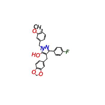 COc1cccc(Cn2nc(-c3ccc(F)cc3)c(Cc3ccc4c(c3)OCO4)c2O)c1